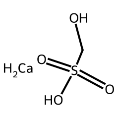 O=S(=O)(O)CO.[CaH2]